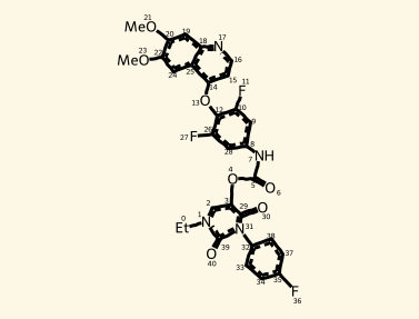 CCn1cc(OC(=O)Nc2cc(F)c(Oc3ccnc4cc(OC)c(OC)cc34)c(F)c2)c(=O)n(-c2ccc(F)cc2)c1=O